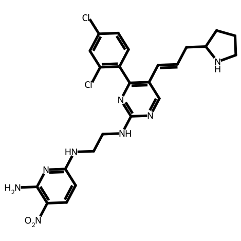 Nc1nc(NCCNc2ncc(/C=C/CC3CCCN3)c(-c3ccc(Cl)cc3Cl)n2)ccc1[N+](=O)[O-]